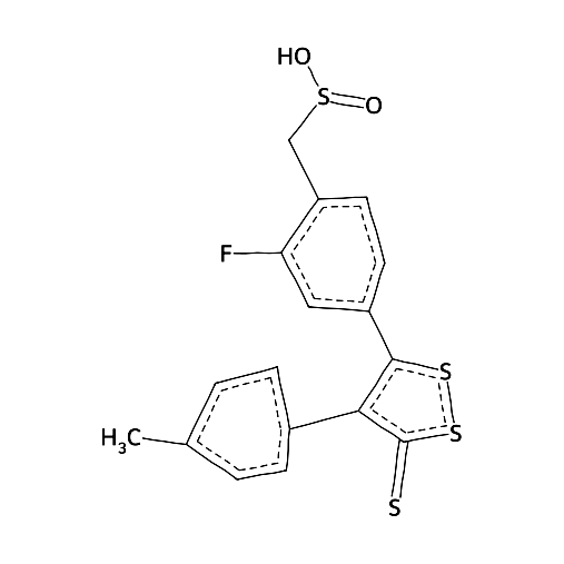 Cc1ccc(-c2c(-c3ccc(CS(=O)O)c(F)c3)ssc2=S)cc1